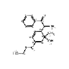 CC(C(=O)c1ccccc1)C1C=CC(OCCO)=CC1(C)O